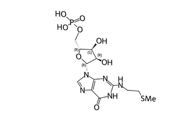 CSCCNc1nc2c(ncn2[C@@H]2O[C@H](COP(=O)(O)O)[C@@H](O)[C@H]2O)c(=O)[nH]1